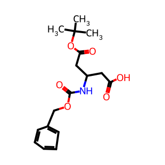 CC(C)(C)OC(=O)CC(CC(=O)O)NC(=O)OCc1ccccc1